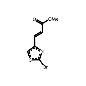 COC(=O)/C=C/c1csc(Br)n1